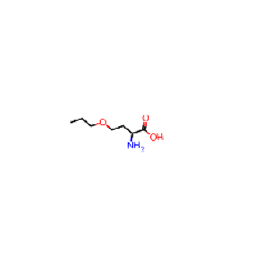 CCCOCCC(N)C(=O)O